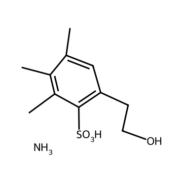 Cc1cc(CCO)c(S(=O)(=O)O)c(C)c1C.N